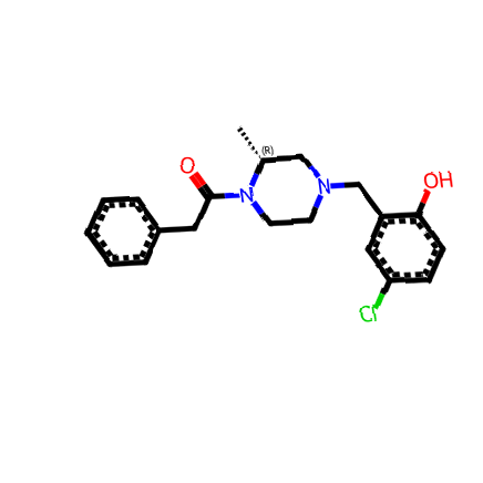 C[C@@H]1CN(Cc2cc(Cl)ccc2O)CCN1C(=O)Cc1ccccc1